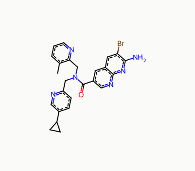 Cc1cccnc1CN(Cc1ccc(C2CC2)cn1)C(=O)c1cnc2nc(N)c(Br)cc2c1